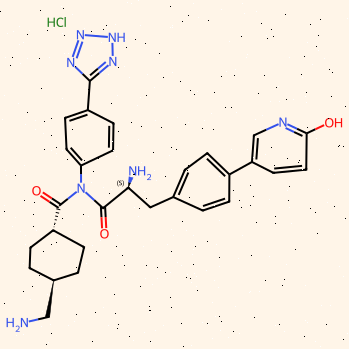 Cl.NC[C@H]1CC[C@H](C(=O)N(C(=O)[C@@H](N)Cc2ccc(-c3ccc(O)nc3)cc2)c2ccc(-c3nn[nH]n3)cc2)CC1